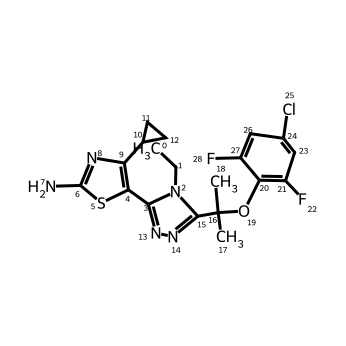 CCn1c(-c2sc(N)nc2C2CC2)nnc1C(C)(C)Oc1c(F)cc(Cl)cc1F